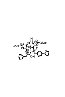 COC(=O)NC(C(=O)NC(Cc1ccccc1)C(O)CN(Cc1ccc(-c2ccccn2)cc1)NC(=O)C(NC(=O)OC)C(C)(C)O)C(C)(C)O